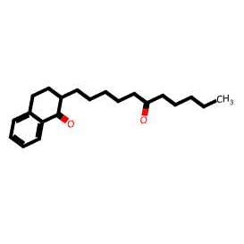 CCCCCC(=O)CCCCCC1CCc2ccccc2C1=O